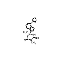 CN1C(=N)N[C@](C)(c2csc3c(-c4ccsc4)cccc23)CC1=O